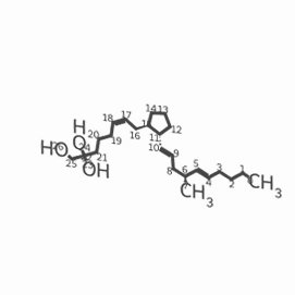 CCCC/C=C/[C@@H](C)C/C=C/[C@H]1CCC[C@@H]1C/C=C\CCCC(O)(O)CO